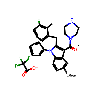 COc1ccc2c(c1)c(C(=O)N1CCNCC1)c(Cc1cccc(F)c1C)n2-c1ccccc1.O=C(O)C(F)(F)F